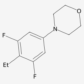 CCc1c(F)cc(N2CCOCC2)cc1F